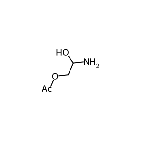 CC(=O)OCC(N)O